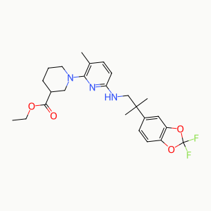 CCOC(=O)C1CCCN(c2nc(NCC(C)(C)c3ccc4c(c3)OC(F)(F)O4)ccc2C)C1